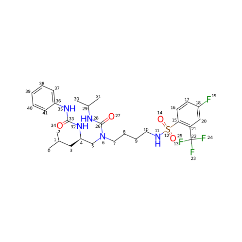 CC(C)C[C@H](CN(CCCCNS(=O)(=O)c1ccc(F)cc1C(F)(F)F)C(=O)NC(C)C)NC(=O)Nc1ccccc1